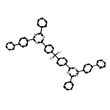 CCC(CC)(c1ccc(-c2nc(-c3ccccc3)nc(-c3ccc(-c4ccccc4)cc3)n2)cc1)c1ccc(-c2nc(-c3ccccc3)nc(-c3ccc(-c4ccccc4)cc3)n2)cc1